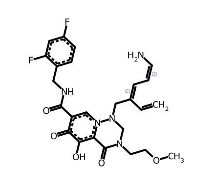 C=C/C(=C\C=C/N)CN1CN(CCOC)C(=O)c2c(O)c(=O)c(C(=O)NCc3ccc(F)cc3F)cn21